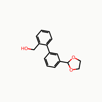 OCc1ccccc1-c1cccc(C2OCCO2)c1